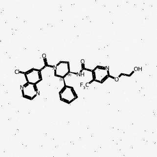 O=C(N[C@@H]1CCN(C(=O)c2cc(Cl)c3nccnc3c2)C[C@@H]1c1ccccc1)c1cnc(OCCO)cc1C(F)(F)F